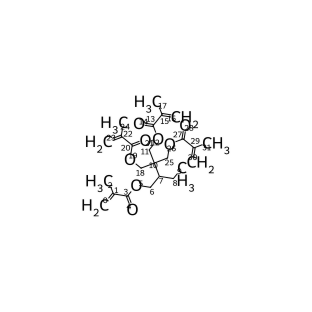 C=C(C)C(=O)OCC(CC)C(COC(=O)C(=C)C)(COC(=O)C(=C)C)COC(=O)C(=C)C